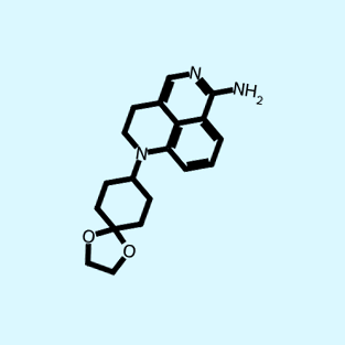 Nc1ncc2c3c(cccc13)N(C1CCC3(CC1)OCCO3)CC2